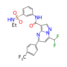 CCNS(=O)(=O)c1cccc(NC(=O)c2cnn3c(C(F)F)cc(-c4ccc(C(F)(F)F)cc4)nc23)c1